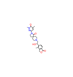 Cc1c([C@@H](O)CN2CCC3(CC2)CCN(c2cc(C)c(=O)n(C)n2)C3=O)ccc2c1COC2=O